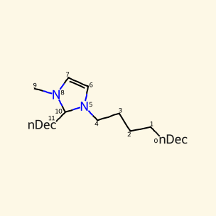 CCCCCCCCCCCCCCN1C=CN(C)C1CCCCCCCCCC